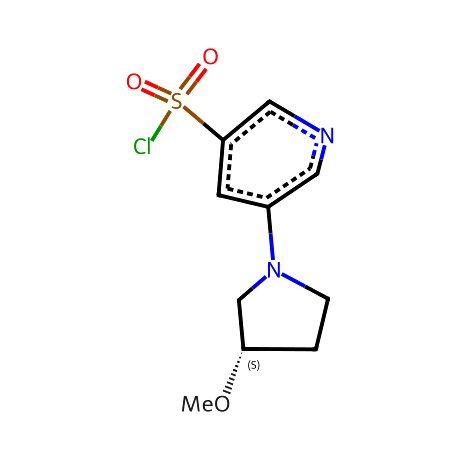 CO[C@H]1CCN(c2cncc(S(=O)(=O)Cl)c2)C1